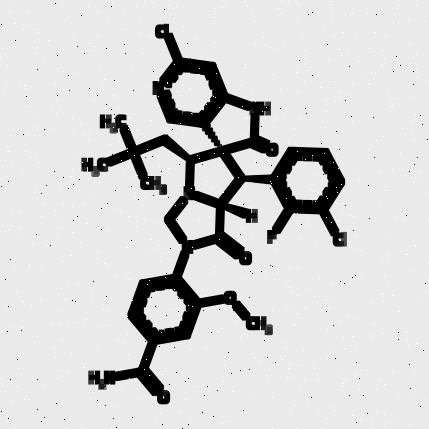 COc1cc(C(N)=O)ccc1N1CN2[C@@H](CC(C)(C)C)[C@@]3(C(=O)Nc4cc(Cl)ncc43)[C@@H](c3cccc(Cl)c3F)[C@@H]2C1=O